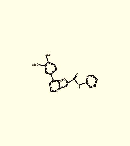 COc1ccc(-c2ccnc3cc(C(=O)Nc4ccccn4)nn23)cc1OC